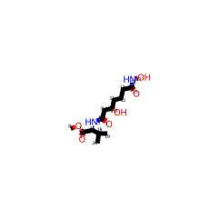 COC(=O)[C@H](NC(=O)CC(O)CCCC(=O)NO)C(C)C